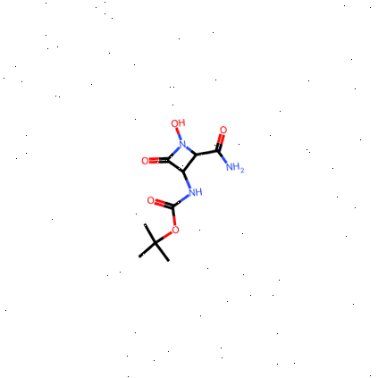 CC(C)(C)OC(=O)NC1C(=O)N(O)C1C(N)=O